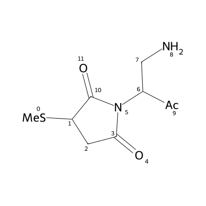 CSC1CC(=O)N(C(CN)C(C)=O)C1=O